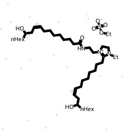 CCCCCCC(O)C/C=C\CCCCCCCC(=O)NCC[N+]1=C(CCCCCCC/C=C\CC(O)CCCCCC)N(CC)CC1.CCOS(=O)(=O)[O-]